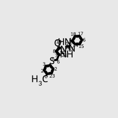 Cc1ccc(SCc2cc(=O)n(-c3nc4ccccc4[nH]3)[nH]2)cc1